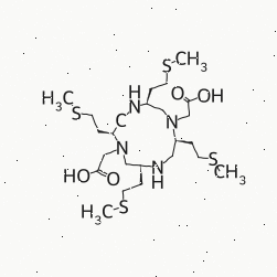 CSCC[C@H]1CN(CC(=O)O)[C@@H](CCSC)CN[C@@H](CCSC)CN(CC(=O)O)[C@@H](CCSC)CN1